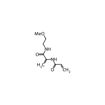 C=CC(=O)NC(=C)C(=O)NCCOC